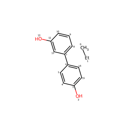 CCC.Oc1ccc(-c2cccc(O)c2)cc1